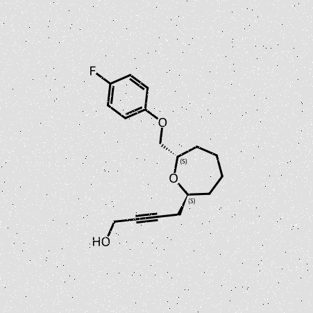 OCC#CC[C@@H]1CCCC[C@@H](COc2ccc(F)cc2)O1